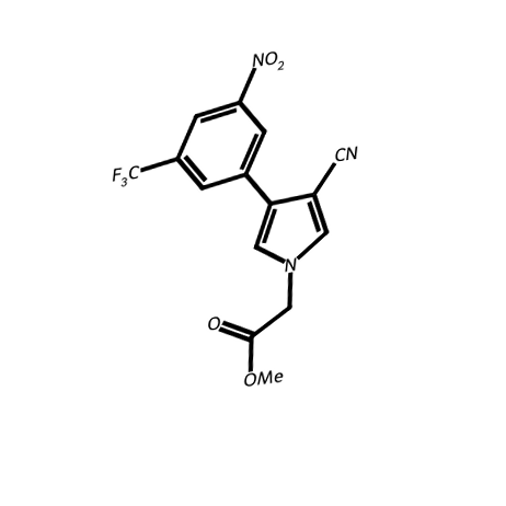 COC(=O)Cn1cc(C#N)c(-c2cc([N+](=O)[O-])cc(C(F)(F)F)c2)c1